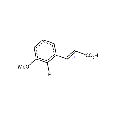 COc1cccc(/C=C/C(=O)O)c1F